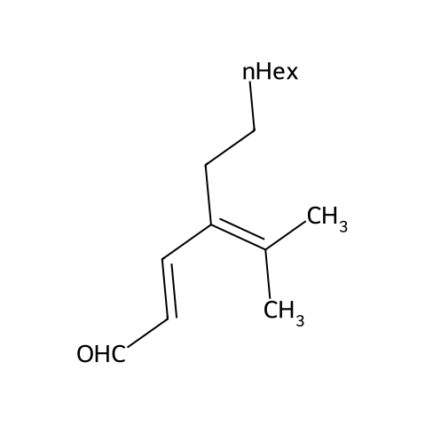 CCCCCCCCC(C=CC=O)=C(C)C